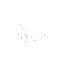 COc1ccc(C(=O)N2C=CC(=O)Cc3ccccc32)cc1